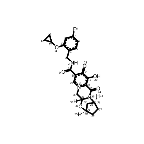 O=C(NCc1ccc(F)cc1OC1CC1)c1cn2c(c(O)c1=O)C(=O)N1[C@H]3CC[C@H](C3)O[C@@H]1C2